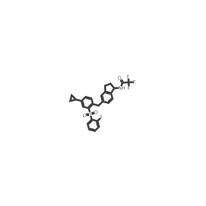 O=C(NC1CCc2cc(Cc3ccc(C4CC4)cc3S(=O)(=O)c3ccccc3F)ccc21)C(F)(F)F